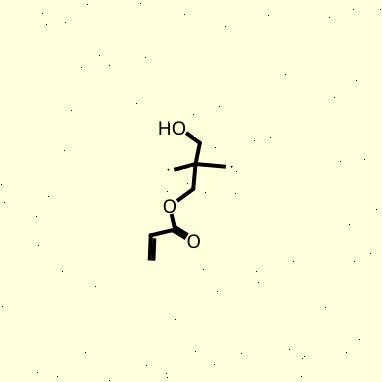 [CH2]C([CH2])(CO)COC(=O)C=C